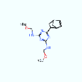 CCCCOCNc1nc(NCOCCCC)nc(C2CC3C=CC2C3)n1